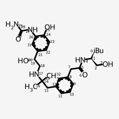 CC[C@H](C)[C@@H](CO)NC(=O)Cc1cccc(CC(C)(C)NC[C@H](O)c2ccc(O)c(NC(N)=O)c2)c1